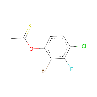 CC(=S)Oc1ccc(Cl)c(F)c1Br